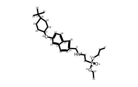 CCCOP(=O)(CCNCc1ccc2cc(OC3CCC(C(C)(C)C)CC3)ccc2c1)OCC